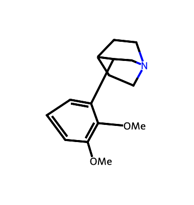 COc1cccc(C2CN3CCC2CC3)c1OC